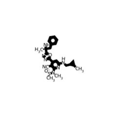 CC1CC1CNc1cc(-c2nnc([C@](C)(N)Cc3ccccc3)o2)c(C#N)c(N(C)[S+](C)[O-])n1